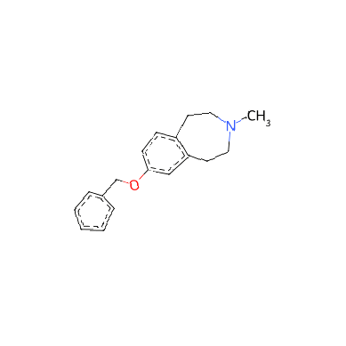 CN1CCc2ccc(OCc3ccccc3)cc2CC1